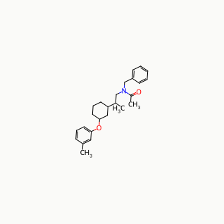 CC(=O)N(Cc1ccccc1)CC(C)C1CCCC(Oc2cccc(C)c2)C1